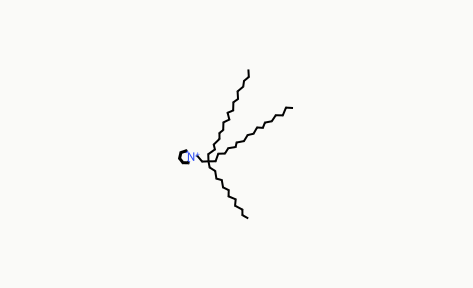 CCCCCCCCCCCCCCCCCC(CCCCCCCCCCCC)(CCCCCCCCCCCCCCCCC)CC[n+]1ccccc1